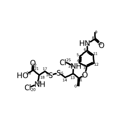 C=C(Oc1ccc(NC(C)=O)cc1)C(CSSCC(NCl)C(=O)O)NCl